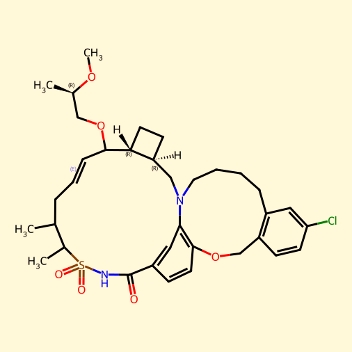 CO[C@H](C)COC1/C=C/CC(C)C(C)S(=O)(=O)NC(=O)c2ccc3c(c2)N(CCCCc2cc(Cl)ccc2CO3)C[C@@H]2CC[C@@H]12